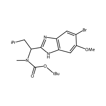 COc1cc2[nH]c(C(CC(C)C)N(C)C(=O)OC(C)(C)C)nc2cc1Br